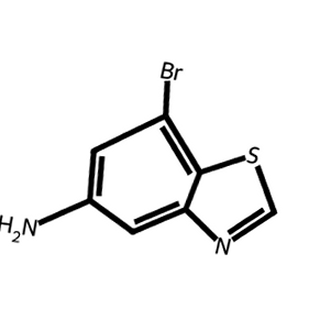 Nc1cc(Br)c2scnc2c1